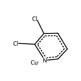 Clc1cccnc1Cl.[Cu]